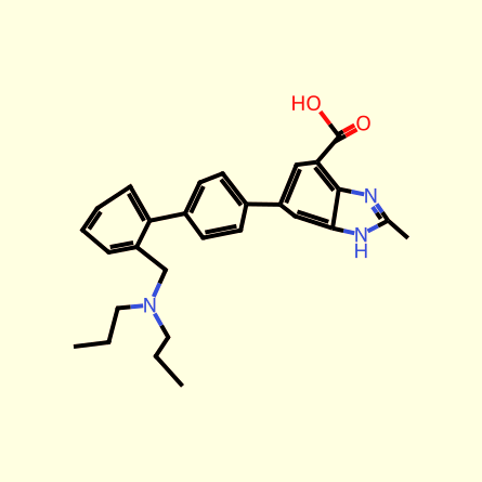 CCCN(CCC)Cc1ccccc1-c1ccc(-c2cc(C(=O)O)c3nc(C)[nH]c3c2)cc1